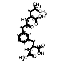 CC(=O)N[C@@H](Cc1cccc(CC(=O)N[C@@H](CC(C)C)C(=O)O)c1)C(=O)O